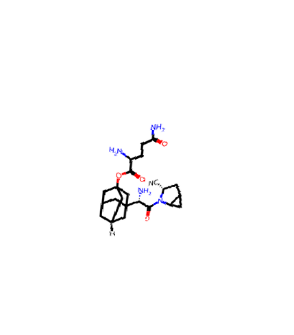 N#C[C@@H]1CC2CC2N1C(=O)[C@@H](N)C12CC3C[C@H](CC(OC(=O)C(N)CCC(N)=O)(C3)C1)C2